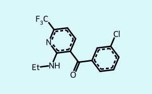 CCNc1nc(C(F)(F)F)ccc1C(=O)c1cccc(Cl)c1